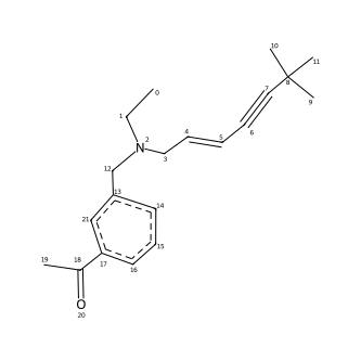 CCN(CC=CC#CC(C)(C)C)Cc1cccc(C(C)=O)c1